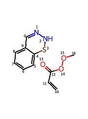 C1=NNSc2ccccc21.C=CC(=O)OOC